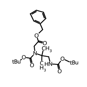 CC(C)(C)OC(=O)NCC(C)(C)N(CC(=O)OCc1ccccc1)C(=O)OC(C)(C)C